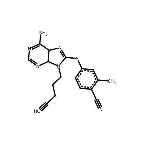 C#CCCCN1C(Sc2ccc(C#N)c(C)c2)=NC2C(N)=NC=NC21